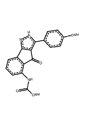 COC(=O)Nc1cccc2c1C(=O)c1c-2n[nH]c1-c1ccc(OC)cc1